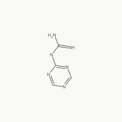 N=C(N)[N]c1ncncn1